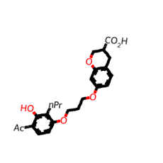 CCCc1c(OCCCOc2ccc3c(c2)OCC(C(=O)O)C3)ccc(C(C)=O)c1O